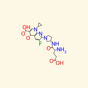 NC(CCC(=O)O)C(=O)NC1CCN(c2nc3c(cc2F)c(=O)c(C(=O)O)cn3C2CC2)C1